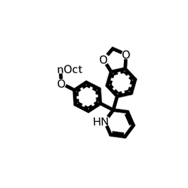 CCCCCCCCOc1ccc(C2(c3ccc4c(c3)OCO4)C=CC=CN2)cc1